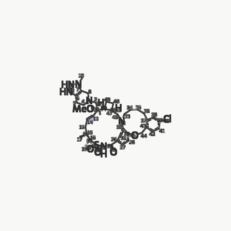 CO[C@@]1(CN2CCC3=C(C2)N(C)NN3)/C=C/C[C@H](C)[C@@H](C)S(=O)(=O)NC(=O)c2ccc3c(c2)N(CCCCc2cc(Cl)ccc2CO3)C[C@@H]2CC[C@H]21